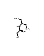 CCC(CC)NC(=O)C[O]